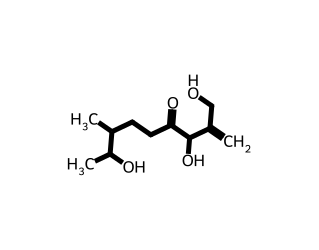 C=C(CO)C(O)C(=O)CCC(C)C(C)O